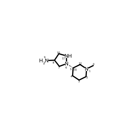 CN1CCC[C@H](N2CC(N)CN2)C1